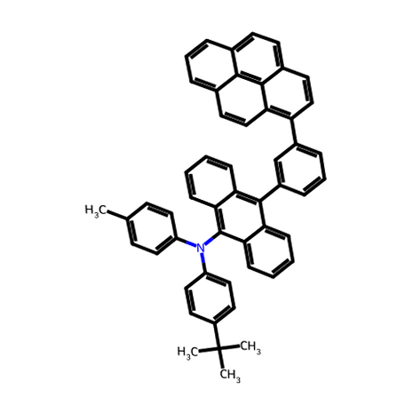 Cc1ccc(N(c2ccc(C(C)(C)C)cc2)c2c3ccccc3c(-c3cccc(-c4ccc5ccc6cccc7ccc4c5c67)c3)c3ccccc23)cc1